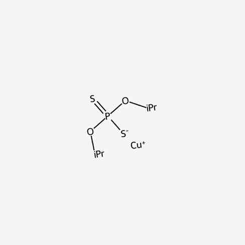 CC(C)OP(=S)([S-])OC(C)C.[Cu+]